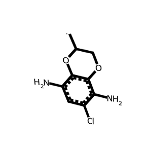 [CH2]C1COc2c(N)c(Cl)cc(N)c2O1